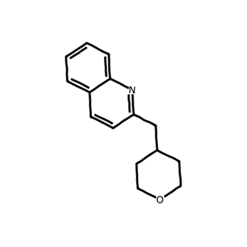 c1ccc2nc(CC3CCOCC3)ccc2c1